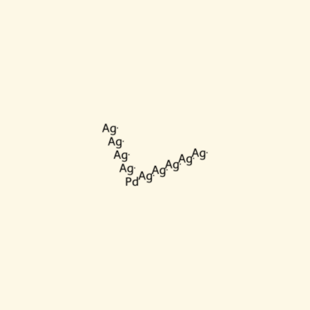 [Ag].[Ag].[Ag].[Ag].[Ag].[Ag].[Ag].[Ag].[Ag].[Pd]